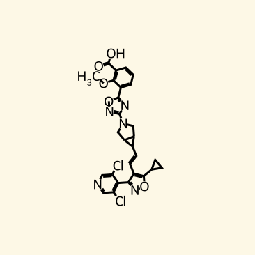 COc1c(C(=O)O)cccc1-c1nc(N2CC3C(C=Cc4c(-c5c(Cl)cncc5Cl)noc4C4CC4)C3C2)no1